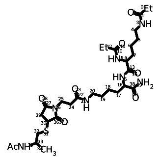 CCC(=O)NCCCCC(NC(=O)CC)C(=O)NC(CCCCNC(=O)CCN1C(=O)CC(SCC(C)NC(C)=O)C1=O)C(N)=O